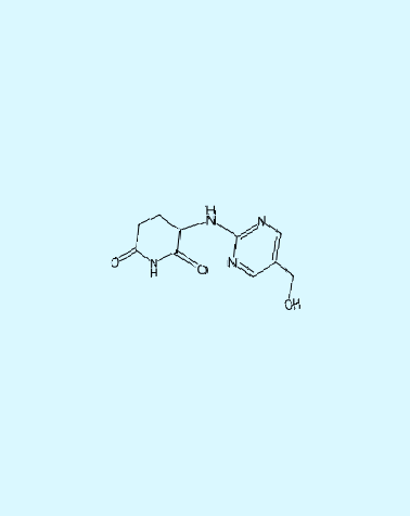 O=C1CCC(Nc2ncc(CO)cn2)C(=O)N1